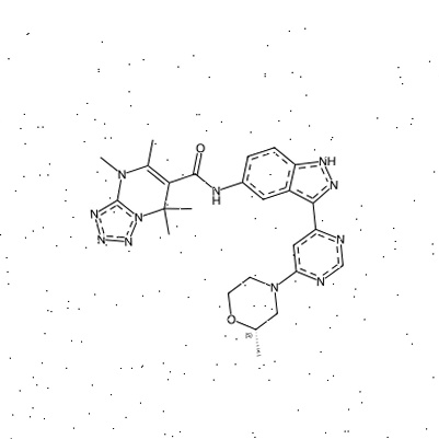 CC1=C(C(=O)Nc2ccc3[nH]nc(-c4cc(N5CCO[C@@H](C)C5)ncn4)c3c2)C(C)(C)n2nnnc2N1C